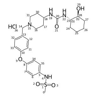 CS(=O)(=O)Nc1ccc(Oc2ccc(CN3CCC(NC(=O)N[C@H]4CCCC[C@@H]4O)CC3)cc2)cc1.Cl